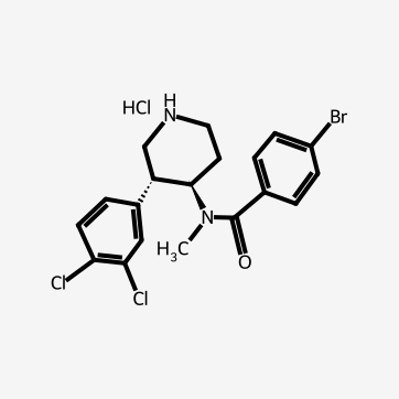 CN(C(=O)c1ccc(Br)cc1)[C@@H]1CCNC[C@H]1c1ccc(Cl)c(Cl)c1.Cl